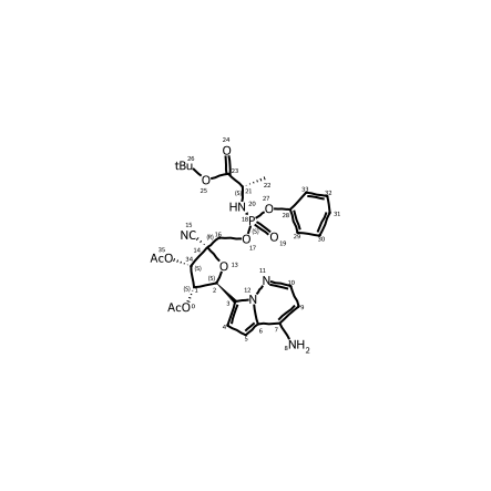 CC(=O)O[C@H]1[C@H](c2ccc3c(N)ccnn23)O[C@](C#N)(CO[P@@](=O)(N[C@@H](C)C(=O)OC(C)(C)C)Oc2ccccc2)[C@H]1OC(C)=O